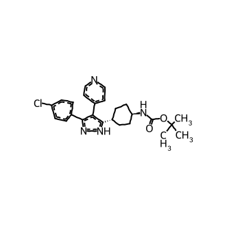 CC(C)(C)OC(=O)N[C@H]1CC[C@H](c2[nH]nc(-c3ccc(Cl)cc3)c2-c2ccncc2)CC1